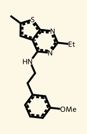 CCc1nc(NCCc2cccc(OC)c2)c2cc(C)sc2n1